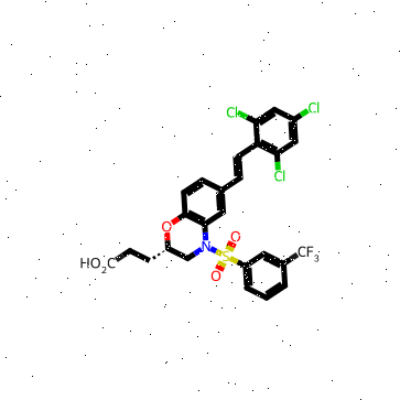 O=C(O)CC[C@H]1CN(S(=O)(=O)c2cccc(C(F)(F)F)c2)c2cc(/C=C/c3c(Cl)cc(Cl)cc3Cl)ccc2O1